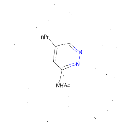 CCCc1cnnc(NC(C)=O)c1